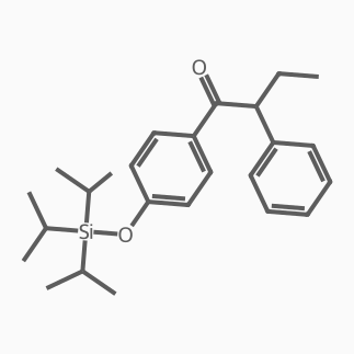 CCC(C(=O)c1ccc(O[Si](C(C)C)(C(C)C)C(C)C)cc1)c1ccccc1